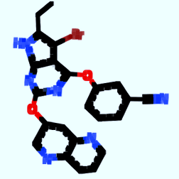 CCc1[nH]c2nc(Oc3cnc4cccnc4c3)nc(Oc3cccc(C#N)c3)c2c1Br